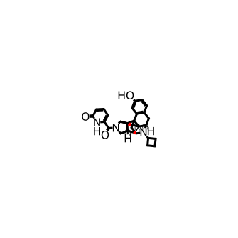 O=C(c1cccc(=O)[nH]1)N1C[C@H]2C[C@@]34CCC1C2C31CCN(C2CCC2)[C@@H]4Cc2ccc(O)cc21